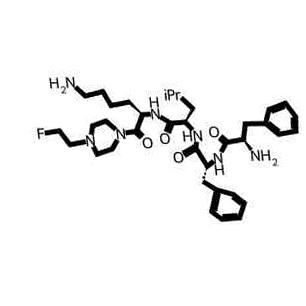 CC(C)C[C@@H](NC(=O)[C@@H](Cc1ccccc1)NC(=O)[C@H](N)Cc1ccccc1)C(=O)N[C@H](CCCCN)C(=O)N1CCN(CCF)CC1